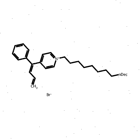 C=CC=C(c1ccccc1)c1cc[n+](CCCCCCCCCCCCCCCCCC)cc1.[Br-]